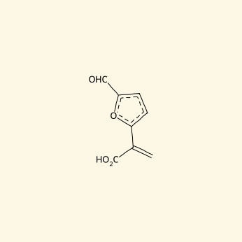 C=C(C(=O)O)c1ccc(C=O)o1